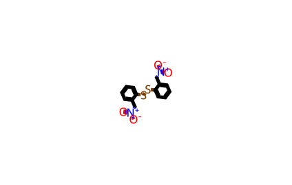 O=[N+]([O-])Cc1ccccc1SSc1ccccc1C[N+](=O)[O-]